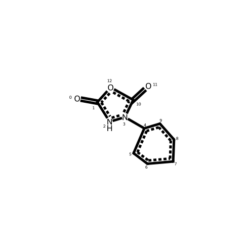 O=c1[nH]n(-c2ccccc2)c(=O)o1